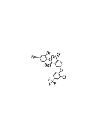 N#Cc1cc(Br)c(OC(=O)c2cc(Oc3ccc(C(F)(F)F)cc3Cl)ccc2[N+](=O)[O-])c(Br)c1